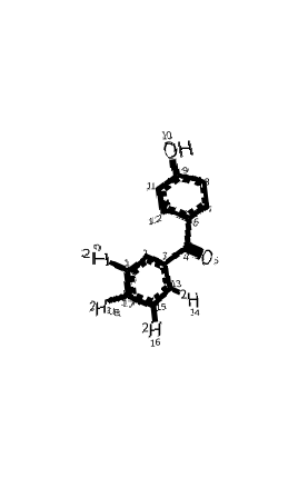 [2H]c1cc(C(=O)c2ccc(O)cc2)c([2H])c([2H])c1[2H]